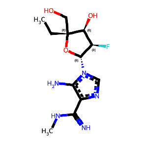 CC[C@]1(CO)O[C@@H](n2cnc(C(=N)NC)c2N)[C@H](F)[C@@H]1O